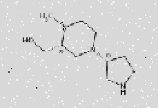 CN1CCN([C@@H]2CCNC2)C[C@@H]1CO